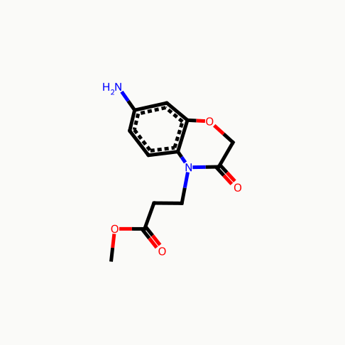 COC(=O)CCN1C(=O)COc2cc(N)ccc21